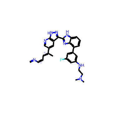 C=N/C=C\C=C(/C)c1cnc2[nH]nc(-c3nc4c(-c5cc(F)cc(NCCN(C)C)c5)cccc4[nH]3)c2c1